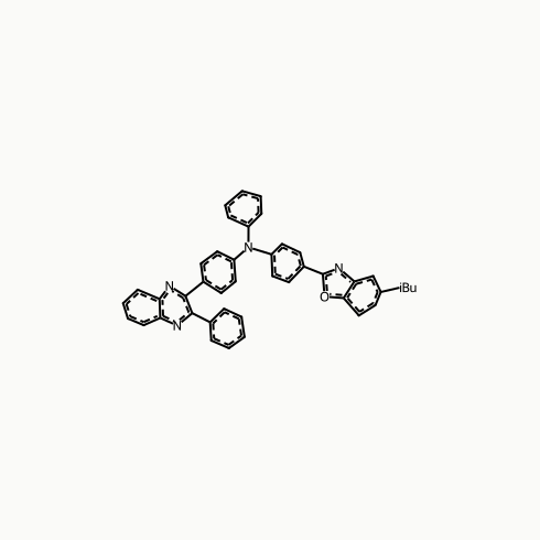 CCC(C)c1ccc2oc(-c3ccc(N(c4ccccc4)c4ccc(-c5nc6ccccc6nc5-c5ccccc5)cc4)cc3)nc2c1